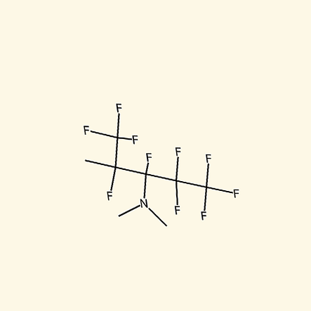 CN(C)C(F)(C(C)(F)C(F)(F)F)C(F)(F)C(F)(F)F